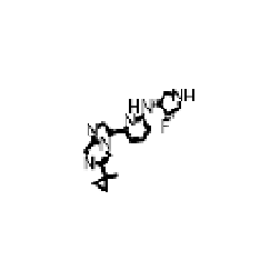 CC1(c2cn3c(-c4cccc(N[C@H]5CNC[C@@H]5F)n4)cnc3cn2)CC1